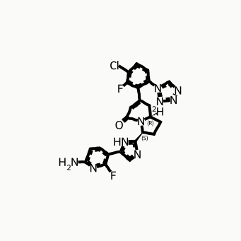 [2H][C@]12CC[C@@H](c3ncc(-c4ccc(N)nc4F)[nH]3)N1C(=O)C=C(c1c(-n3cnnn3)ccc(Cl)c1F)C2